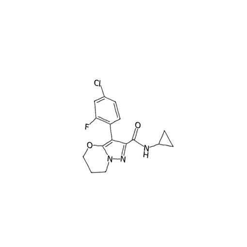 O=C(NC1CC1)c1nn2c(c1-c1ccc(Cl)cc1F)OCCC2